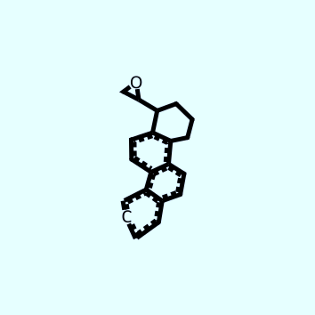 c1ccc2c(c1)ccc1c3c(ccc12)C(C1CO1)CCC3